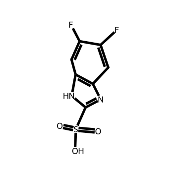 O=S(=O)(O)c1nc2cc(F)c(F)cc2[nH]1